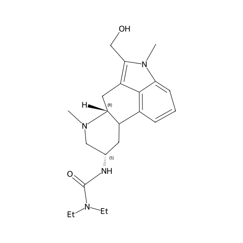 CCN(CC)C(=O)N[C@H]1CC2c3cccc4c3c(c(CO)n4C)C[C@H]2N(C)C1